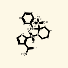 NC(=O)c1ccsc1S(=O)(=O)N1CCCCC1(Nc1ccccc1)S(=O)(=O)C(F)(F)F